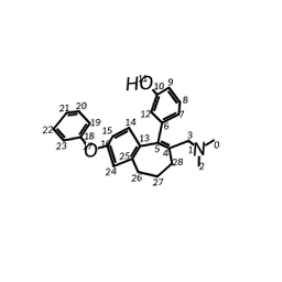 CN(C)CC1=C(c2cccc(O)c2)c2ccc(Oc3ccccc3)cc2CCC1